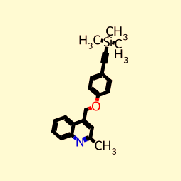 Cc1cc(COc2ccc(C#C[Si](C)(C)C)cc2)c2ccccc2n1